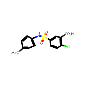 COc1ccc(NS(=O)(=O)c2ccc(Cl)c(C(=O)O)c2)cc1